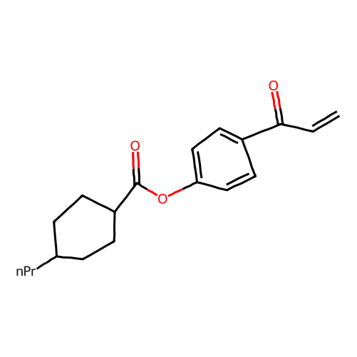 C=CC(=O)c1ccc(OC(=O)C2CCC(CCC)CC2)cc1